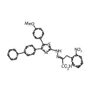 COc1ccc(-c2sc(NN=C(Cc3ccccc3[N+](=O)[O-])C(=O)O)nc2-c2ccc(-c3ccccc3)cc2)cc1